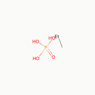 CCC.O=P(O)(O)O